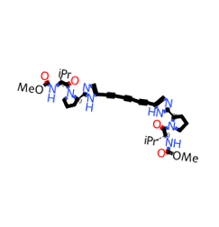 COC(=O)N[C@@H](C(=O)N1CCC[C@@H]1c1ncc(C#CC#CC#Cc2cnc([C@H]3CCCN3C(=O)[C@H](NC(=O)OC)C(C)C)[nH]2)[nH]1)C(C)C